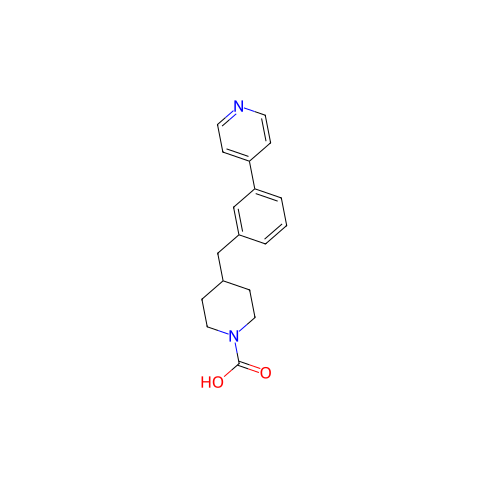 O=C(O)N1CCC(Cc2cccc(-c3ccncc3)c2)CC1